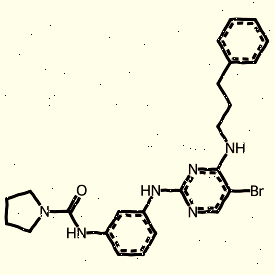 O=C(Nc1cccc(Nc2ncc(Br)c(NCCCc3ccccc3)n2)c1)N1CCCC1